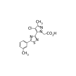 Cc1cccc(-c2nc(-c3c(Cl)c(C)nn3CC(=O)O)ns2)c1